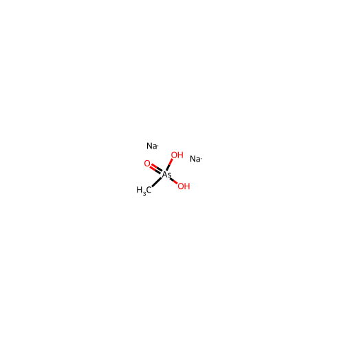 C[As](=O)(O)O.[Na].[Na]